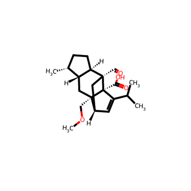 COC[C@@]12C[C@@H]3[C@H](C)CC[C@H]3[C@]3(C=O)C[C@@H]1C=C(C(C)C)[C@@]23C(=O)O